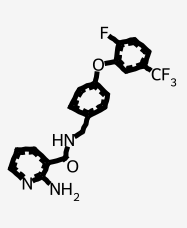 Nc1ncccc1C(=O)NCc1ccc(Oc2cc(C(F)(F)F)ccc2F)cc1